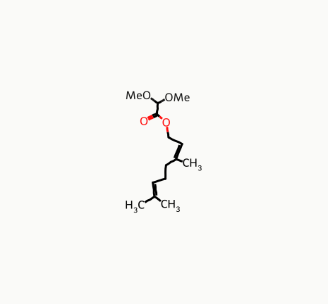 COC(OC)C(=O)OCC=C(C)CCC=C(C)C